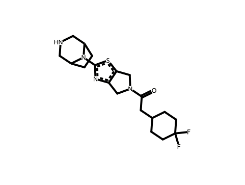 O=C(CC1CCC(F)(F)CC1)N1Cc2nc(N3C4CCC3CNC4)sc2C1